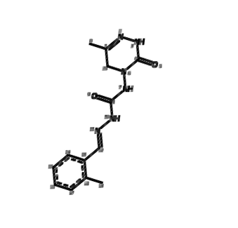 CC1=NNC(=O)N(NC(=O)N/N=C/c2ccccc2C)C1